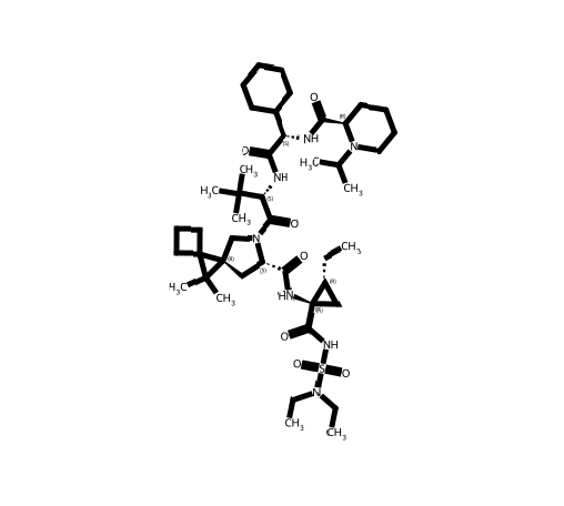 CC[C@@H]1C[C@]1(NC(=O)[C@@H]1C[C@@]2(CN1C(=O)[C@@H](NC(=O)[C@@H](NC(=O)[C@H]1CCCCN1C(C)C)C1CCCCC1)C(C)(C)C)C(C)(C)C21CCC1)C(=O)NS(=O)(=O)N(CC)CC